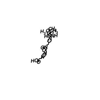 CC(C)(C)OC(=O)NC(=N)N1CCC(CCN2CC(CN3CCN(CCC(=O)O)CC3)OC2=O)CC1